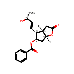 CCCCC[C@H](O)C=C[C@@H]1[C@H]2CC(=O)O[C@H]2C[C@H]1OC(=O)c1ccccc1